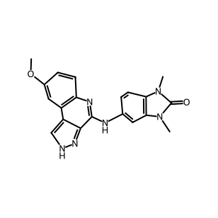 COc1ccc2nc(Nc3ccc4c(c3)n(C)c(=O)n4C)c3n[nH]cc3c2c1